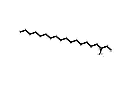 CCCCCCCCCCCCCCCCC(P)CC